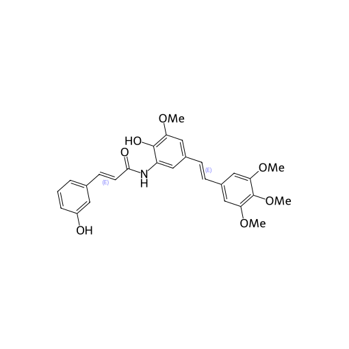 COc1cc(/C=C/c2cc(OC)c(OC)c(OC)c2)cc(NC(=O)/C=C/c2cccc(O)c2)c1O